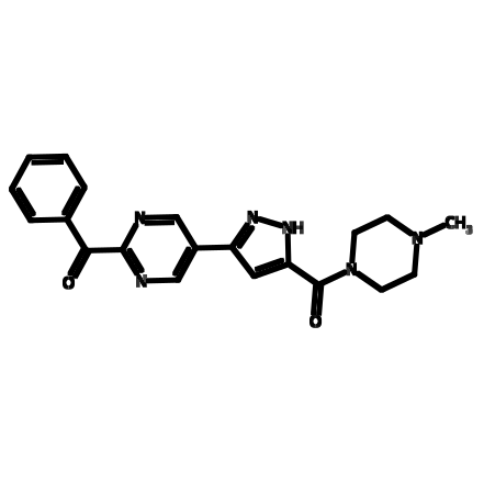 CN1CCN(C(=O)c2cc(-c3cnc(C(=O)c4ccccc4)nc3)n[nH]2)CC1